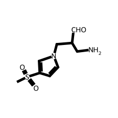 CS(=O)(=O)c1ccn(CC(C=O)CN)c1